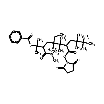 CCC(C)(CC(C(=O)N(C)C)C(C)(C)SC(=S)c1ccccc1)C(C)(C)C(CC(C)(C)C(C)(C)C)C(=O)ON1C(=O)CCC1=O